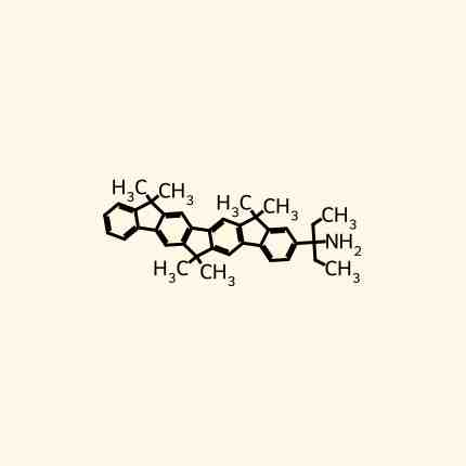 CCC(N)(CC)c1ccc2c(c1)C(C)(C)c1cc3c(cc1-2)C(C)(C)c1cc2c(cc1-3)C(C)(C)c1ccccc1-2